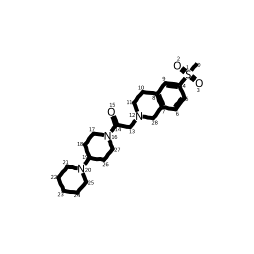 CS(=O)(=O)c1ccc2c(c1)CCN(CC(=O)N1CCC(N3CCCCC3)CC1)C2